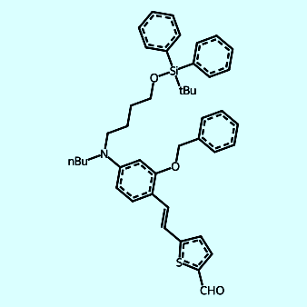 CCCCN(CCCCO[Si](c1ccccc1)(c1ccccc1)C(C)(C)C)c1ccc(/C=C/c2ccc(C=O)s2)c(OCc2ccccc2)c1